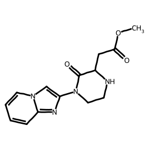 COC(=O)CC1NCCN(c2cn3ccccc3n2)C1=O